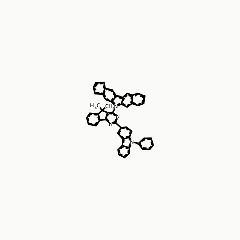 CC1(C)c2ccccc2-c2nc(-c3ccc4c(c3)c3ccccc3n4-c3ccccc3)nc(-n3c4cc5ccccc5cc4c4cc5ccccc5cc43)c21